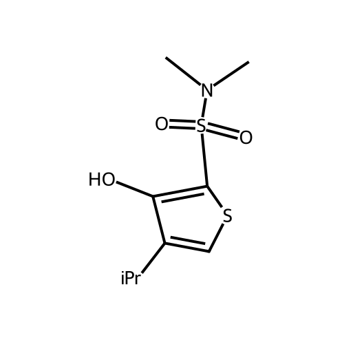 CC(C)c1csc(S(=O)(=O)N(C)C)c1O